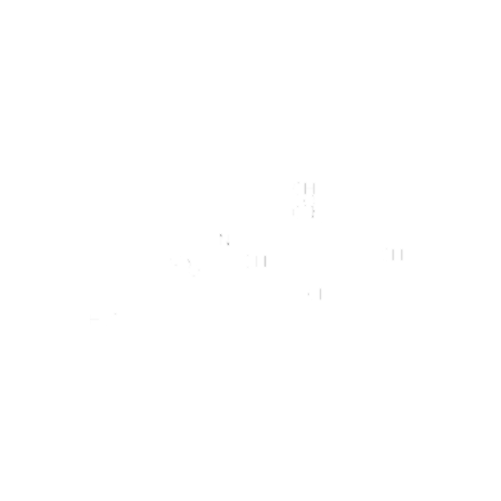 CCCCCCCCC(CCCCCCCC)OC(C)(C)CCCCCCCN(CCO)CCCC(=O)OC1CCC(CCCCC)CC1